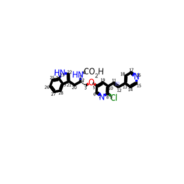 O=C(O)N[C@H](COc1cnc(Cl)c(/C=C/c2ccncc2)c1)Cc1c[nH]c2ccccc12